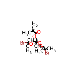 C=C(C)C(=O)OCC(C)(COC(C)(C)Br)OOCC(C)(C)Br